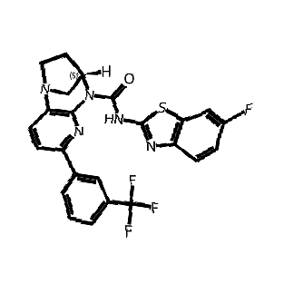 O=C(Nc1nc2ccc(F)cc2s1)N1c2nc(-c3cccc(C(F)(F)F)c3)ccc2N2CC[C@H]1C2